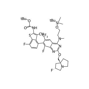 CN(CCO[Si](C)(C)C(C)(C)C)c1nc(OC[C@@]23CCCN2C[C@H](F)C3)nc2c(F)c(-c3ccc(F)c4sc(NC(=O)OC(C)(C)C)c(C#N)c34)c(C(F)(F)F)cc12